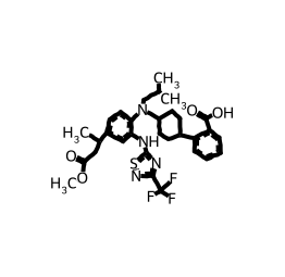 COC(=O)CC(C)c1ccc(N(CC(C)C)C2CCC(c3ccccc3C(=O)O)CC2)c(Nc2nc(C(F)(F)F)ns2)c1